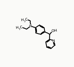 CCN(CC)c1ccc(C(O)c2ccccn2)cc1